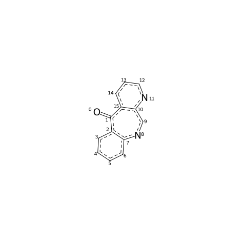 O=c1c2ccccc2ncc2ncccc12